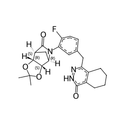 CC1(C)O[C@@H]2[C@H](O1)[C@@H]1C[C@H]2N(c2cc(Cc3n[nH]c(=O)c4c3CCCC4)ccc2F)C1=O